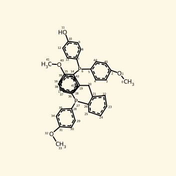 COc1ccc(P(c2ccc(O)cc2)c2ccccc2Cc2ccccc2P(c2ccc(OC)cc2)c2ccc(OC)cc2)cc1